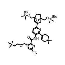 CC1(C)CC=C(c2nc(C3=CC4(CO[Si](C)(C)C(C)(C)C)CCC(CO[Si](C)(C)C(C)(C)C)(C3)O4)ccc2NC(=O)c2nc(C#N)cn2COCC[Si](C)(C)C)CC1